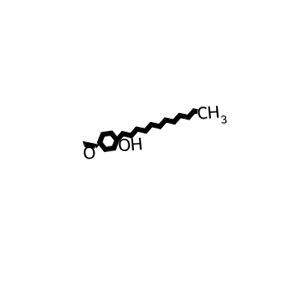 C1CO1.CCCCCCCCCCCCC1(O)CCCCC1